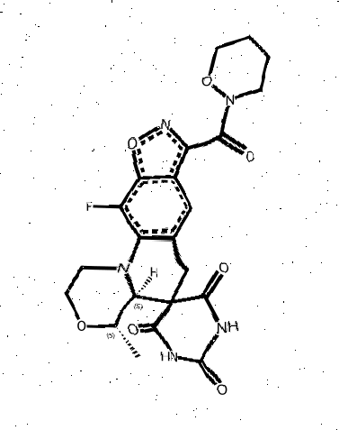 C[C@@H]1OCCN2c3c(cc4c(C(=O)N5CCCCO5)noc4c3F)CC3(C(=O)NC(=O)NC3=O)[C@@H]12